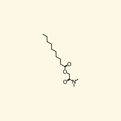 CCCCCCCCCC(=O)OCC(=O)N(C)C